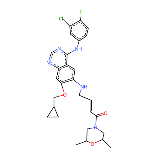 CC1CN(C(=O)C=CCNc2cc3c(Nc4ccc(F)c(Cl)c4)ncnc3cc2OCC2CC2)CC(C)O1